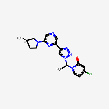 CC(n1cc(-c2cncc(N3CC[C@@H](C)C3)n2)nn1)n1ccc(Cl)cc1=O